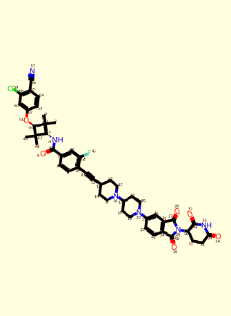 CC1(C)[C@H](NC(=O)c2ccc(C#CC3CCN(C4CCN(c5ccc6c(c5)C(=O)N(C5CCC(=O)NC5=O)C6=O)CC4)CC3)c(F)c2)C(C)(C)[C@H]1Oc1ccc(C#N)c(Cl)c1